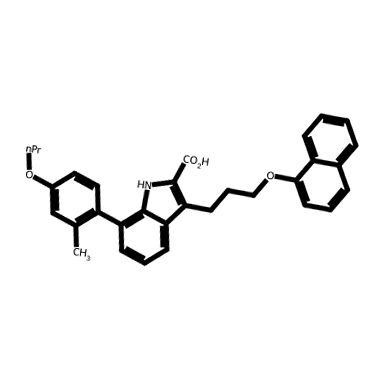 CCCOc1ccc(-c2cccc3c(CCCOc4cccc5ccccc45)c(C(=O)O)[nH]c23)c(C)c1